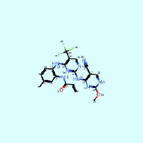 C=CC(=O)Nc1cc(C)ccc1Nc1nc(Nc2nc(OC)ncc2C#N)ncc1C(F)(F)F